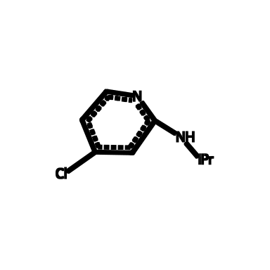 CC(C)Nc1cc(Cl)ccn1